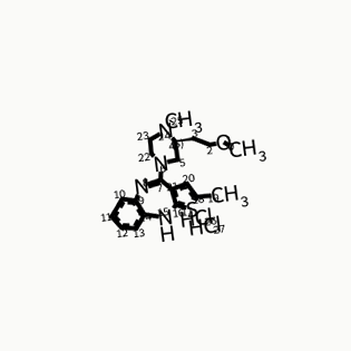 COCC[C@H]1CN(C2=Nc3ccccc3Nc3sc(C)cc32)CCN1C.Cl.Cl